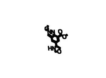 COC(=O)c1cc(C2COCN2)cc2cn(OC)nc12